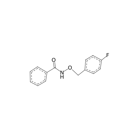 O=C(NOCc1ccc(F)cc1)c1ccccc1